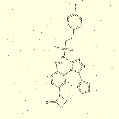 COc1ccc(N2CCC2=O)cc1-n1c(NS(=O)(=O)CCc2ccc(F)cc2)nnc1-c1cccs1